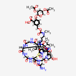 CC[C@@H]1C(CCCCN(C)C(=O)OCc2ccc(O[C@@H]3OC[C@@H](OC(C)=O)C[C@H]3OC(C)=O)c(C(=O)O)c2)COc2ccc3c4c([nH]c3c2)[S+]([O-])C[C@@H]2NC(=O)CNC(=O)[C@H]1NC(=O)CNC(=O)[C@H](C4)NC(=O)[C@H](C(C)C)NC(=O)[C@@H]1C[C@@H](O)CN1C(=O)[C@H](CC(N)=O)NC2=O